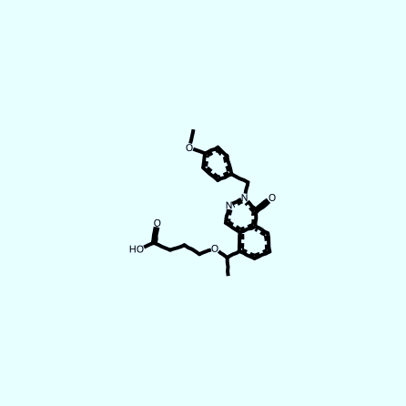 COc1ccc(Cn2ncc3c(C(C)OCCCC(=O)O)cccc3c2=O)cc1